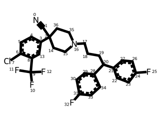 N#CC1(c2ccc(Cl)c(C(F)(F)F)c2)CCN(CCCC(c2ccc(F)cc2)c2ccc(F)cc2)CC1